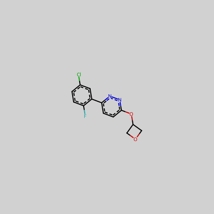 Fc1ccc(Cl)cc1-c1ccc(OC2COC2)nn1